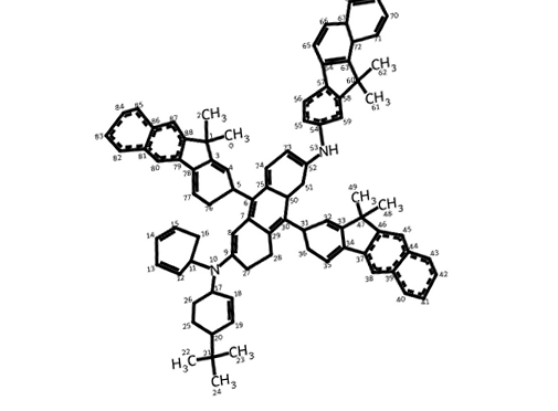 CC1(C)C2=CC(C3=C4C=C(N(C5C=CC=CC5)C5C=CC(C(C)(C)C)CC5)CCC4=C(C4C=C5C(=CC4)c4cc6ccccc6cc4C5(C)C)C4CC(Nc5ccc6c(c5)C(C)(C)C5=C6C=CC6C=CC=CC56)=CC=C34)CC=C2c2cc3ccccc3cc21